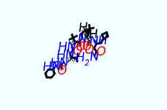 CC(C)[C@H](CNC(=O)NC1CCCCC1)NC(=O)N[C@H](C(=O)N1C[C@H]2[C@@H]([C@H]1C(=O)NC(CC1CCC1)C(=O)C(N)=O)C2(C)C)C(C)(C)C